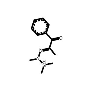 CC(=NN(C)[SiH](C)C)C(=O)c1ccccc1